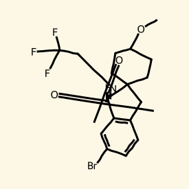 COC1CCC2(CC1)Cc1ccc(Br)cc1C21NC(=O)N(CC(F)(F)F)C1=O